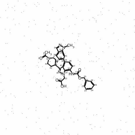 CC(=O)N1CCC(c2nn(CC(=O)O)c3c(NC(=O)OCc4ccccc4)ccc(-c4cc5c(cnn5C)cc4F)c23)CC1